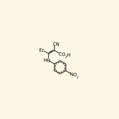 CCC(Nc1ccc([N+](=O)[O-])cc1)=C(C#N)C(=O)O